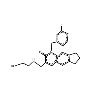 O=c1c(CNCCO)cc2cc3c(cc2n1Cc1cccc(F)c1)CCC3